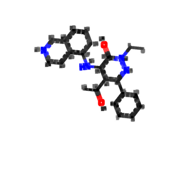 CCn1nc(-c2ccccc2)c(C(C)=O)c(Nc2cccc3cnccc23)c1=O